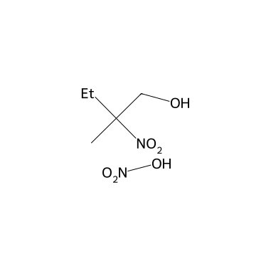 CCC(C)(CO)[N+](=O)[O-].O=[N+]([O-])O